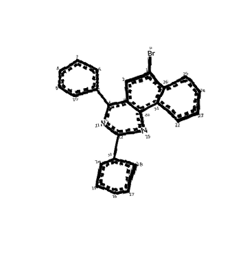 Brc1cc2c(-c3ccccc3)nc(-c3ccccc3)nc2c2ccccc12